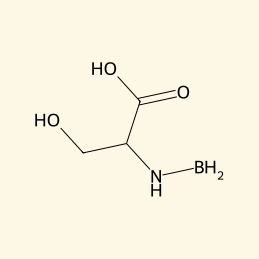 BNC(CO)C(=O)O